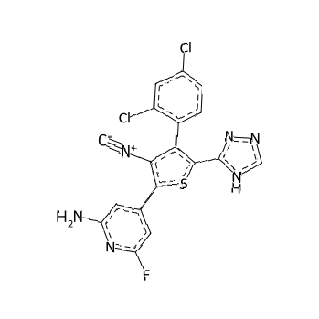 [C-]#[N+]c1c(-c2cc(N)nc(F)c2)sc(-c2nnc[nH]2)c1-c1ccc(Cl)cc1Cl